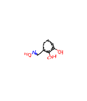 ON=Cc1cccc(O)c1O